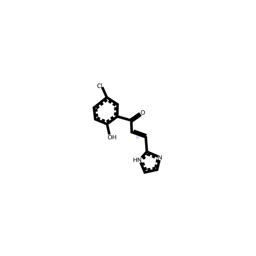 O=C(/C=C/c1ncc[nH]1)c1cc(Cl)ccc1O